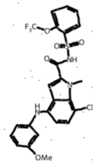 COc1cccc(Nc2ccc(Cl)c3c2cc(C(=O)NS(=O)(=O)c2ccccc2OC(F)(F)F)n3C)c1